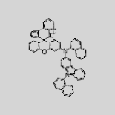 c1ccc2c(c1)Oc1cc(N(c3ccc4c(c3)c3ccccc3n4-c3cccc4ccccc34)c3cccc4ccccc34)ccc1C21c2ccccc2-c2cccc3cccc1c23